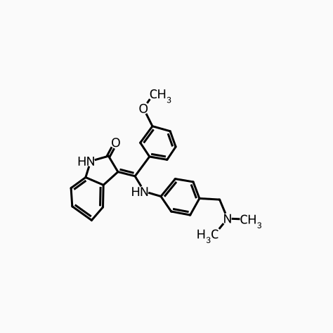 COc1cccc(C(Nc2ccc(CN(C)C)cc2)=C2C(=O)Nc3ccccc32)c1